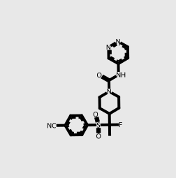 CC(F)(C1CCN(C(=O)Nc2ccnnc2)CC1)S(=O)(=O)c1ccc(C#N)cc1